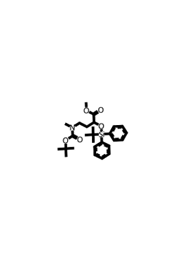 COC(=O)C(CCN(C)C(=O)OC(C)(C)C)O[Si](c1ccccc1)(c1ccccc1)C(C)(C)C